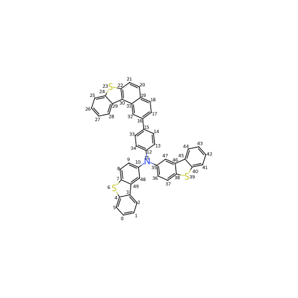 c1ccc2c(c1)sc1ccc(N(c3ccc(-c4ccc5ccc6sc7ccccc7c6c5c4)cc3)c3ccc4sc5ccccc5c4c3)cc12